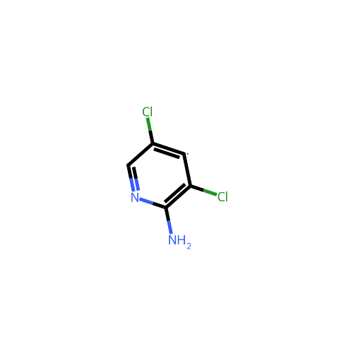 Nc1ncc(Cl)[c]c1Cl